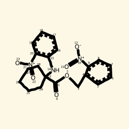 O=C(OCc1ccccc1[N+](=O)[O-])C1(Nc2ccccc2[N+](=O)[O-])CCCCC1